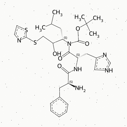 CC(C)C[C@@H](C(O)CSc1nccs1)N(C(=O)OC(C)(C)C)C(=O)[C@H](Cc1c[nH]cn1)NC(=O)[C@@H](N)Cc1ccccc1